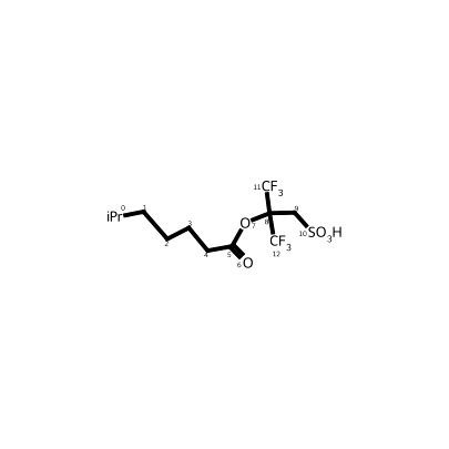 CC(C)CCCCC(=O)OC(CS(=O)(=O)O)(C(F)(F)F)C(F)(F)F